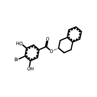 O=C(O[C@H]1CCc2ccccc2C1)c1cc(O)c(Br)c(O)c1